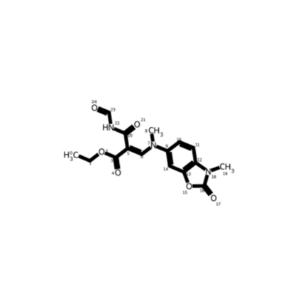 CCOC(=O)/C(=C/N(C)c1ccc2c(c1)oc(=O)n2C)C(=O)NC=O